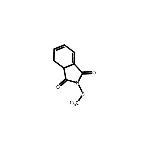 O=C1C2=CC=CCC2C(=O)N1SC(Cl)(Cl)Cl